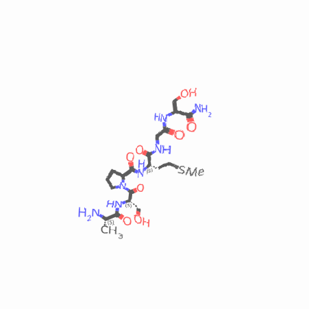 CSCC[C@H](NC(=O)C1CCCN1C(=O)[C@H](CO)NC(=O)[C@H](C)N)C(=O)NCC(=O)NC(CO)C(N)=O